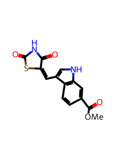 COC(=O)c1ccc2c(/C=C3/SC(=O)NC3=O)c[nH]c2c1